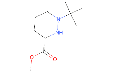 COC(=O)[C@@H]1CCCN(C(C)(C)C)N1